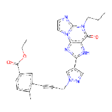 CCCn1c(=O)c2[nH]c(-c3cnn(CC#Cc4cc(C(=O)OCC)ccc4C)c3)nc2n2ccnc12